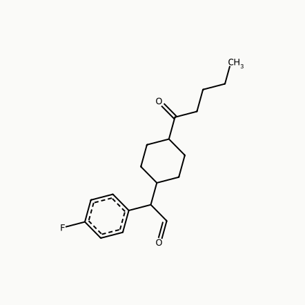 CCCCC(=O)C1CCC(C(C=O)c2ccc(F)cc2)CC1